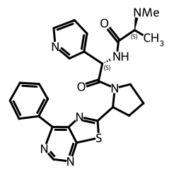 CN[C@@H](C)C(=O)N[C@H](C(=O)N1CCCC1c1nc2c(-c3ccccc3)ncnc2s1)c1cccnc1